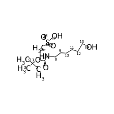 CC(C)(C)OC(=O)NCCCCCCO.CS(=O)(=O)O